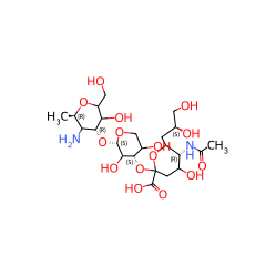 CC(=O)N[C@@H]1C(O)CC(O[C@H]2C(O)CO[C@@H](O[C@H]3C(O)C(CO)O[C@H](C)C3N)C2O)(C(=O)O)OC1C[C@H](O)CO